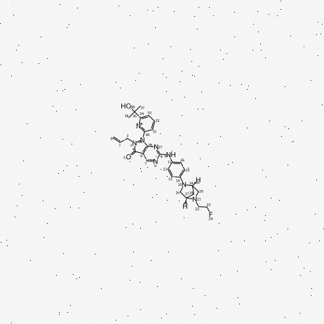 C=CCn1c(=O)c2cnc(Nc3ccc(N4C[C@@H]5C[C@H]4CN5CCF)cc3)nc2n1-c1cccc(C(C)(C)O)n1